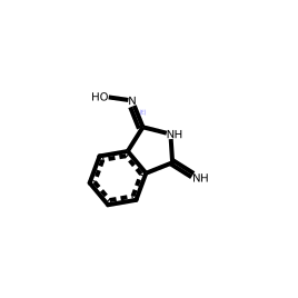 N=C1N/C(=N/O)c2ccccc21